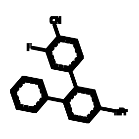 CCCc1ccc(-c2ccccc2)c(-c2ccc(C#N)c(F)c2)c1